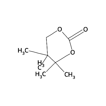 CC1(C)COC(=O)OC1(C)C